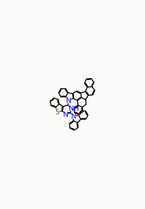 c1ccc2c(c1)CC1c3ccc4ccccc4c3-c3cc4c5ccccc5n(C5NC(n6c7ccccc7c7ccccc76)=Nc6sc7ccccc7c65)c4c-2c31